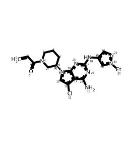 C=CC(=O)N1CCC[C@@H](n2cc(Cl)c3c(N)nc(Nc4cnn(CC)c4)nc32)C1